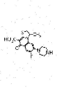 CC1CSc2c(C(=O)O)c(=O)c3cc(F)c(N4CCNCC4)cc3n21